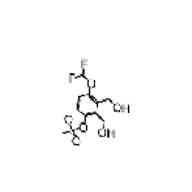 CS(=O)(=O)Oc1ccc(OC(F)F)c(CO)c1CO